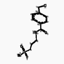 CCC(C)S(=O)(=O)CCCNC(=O)c1ccc(CCl)cc1